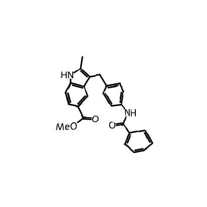 COC(=O)c1ccc2[nH]c(C)c(Cc3ccc(NC(=O)c4ccccc4)cc3)c2c1